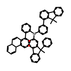 CC1(C)c2ccccc2-c2cccc(-c3cccc(N(c4ccc5c(c4)C(C)(c4ccccc4)c4ccccc4-5)c4ccccc4-c4cccc5c4C=CC4C=CC=CC54)c3)c21